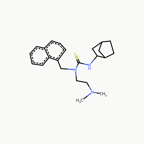 CN(C)CCN(Cc1cccc2ccccc12)C(=S)NC1CC2CCC1C2